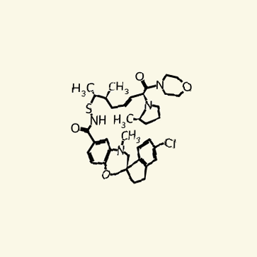 C[C@@H]1CCCN1[C@@H](/C=C/C[C@H](C)[C@@H](C)SNC(=O)c1ccc2c(c1)N(C)C[C@@]1(CCCc3cc(Cl)ccc31)CO2)C(=O)N1CCOCC1